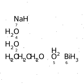 O.O.O.O.O.O.[BiH3].[NaH]